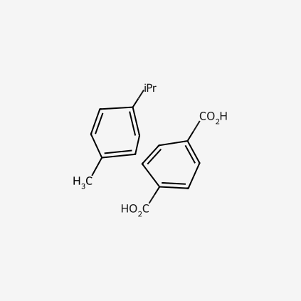 Cc1ccc(C(C)C)cc1.O=C(O)c1ccc(C(=O)O)cc1